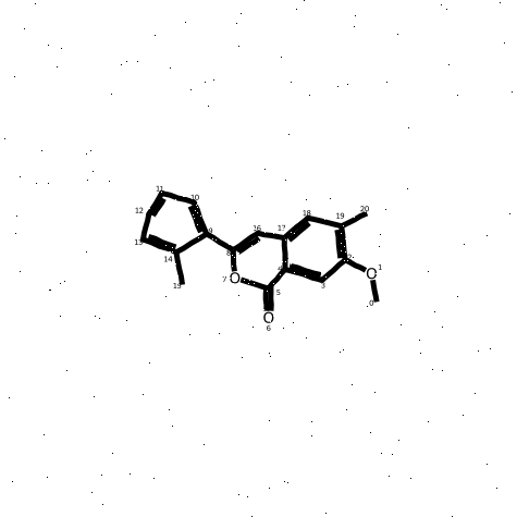 COc1cc2c(=O)oc(-c3ccccc3C)cc2cc1C